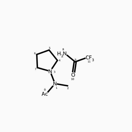 CC(=O)N(C)N1CCCC1.NC(=O)C(F)(F)F